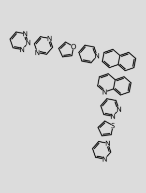 c1ccc2ccccc2c1.c1ccc2ncccc2c1.c1ccncc1.c1ccnnc1.c1ccoc1.c1ccsc1.c1cnccn1.c1cncnc1.c1cnnnc1